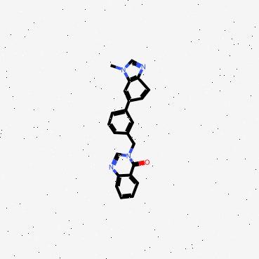 Cn1cnc2ccc(-c3cccc(Cn4cnc5ccccc5c4=O)c3)cc21